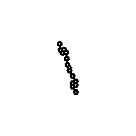 c1ccc(-c2ccc3ccc4c(-c5ccc(-c6ccc7c(c6)sc6cc(-c8ccc(-c9ccc%10ccc%11c(-c%12ccccc%12)ccc%12ccc9c%10c%12%11)cc8)ccc67)cc5)ccc5ccc2c3c54)cc1